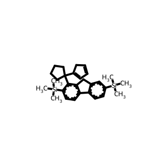 C[Si](C)(C)c1ccc2c(c1)Cc1c-2ccc([Si](C)(C)C)c1C1(C2=CC=CC2)CCCC1